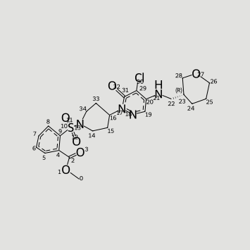 COC(=O)c1ccccc1S(=O)(=O)N1CCC(n2ncc(NC[C@H]3CCCOC3)c(Cl)c2=O)CC1